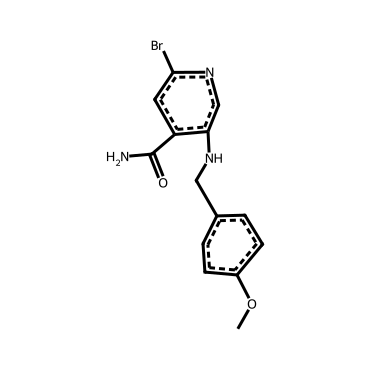 COc1ccc(CNc2cnc(Br)cc2C(N)=O)cc1